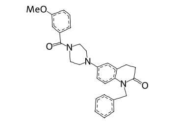 COc1cccc(C(=O)N2CCN(c3ccc4c(c3)CCC(=O)N4Cc3ccccc3)CC2)c1